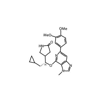 COc1ccc(-c2cc3ncn(C)c3c(O[C@H](CC3CC3)C3CNC(=O)C3)n2)cc1OC